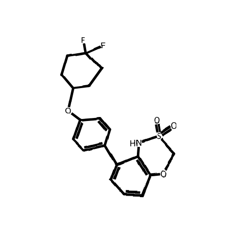 O=S1(=O)COc2cccc(-c3ccc(OC4CCC(F)(F)CC4)cc3)c2N1